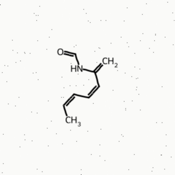 C=C(/C=C\C=C/C)NC=O